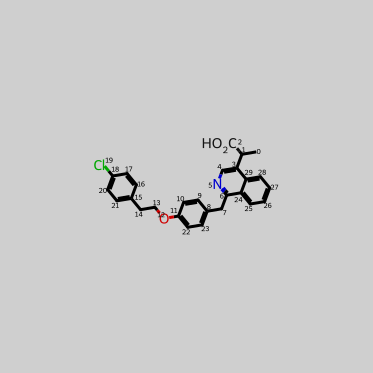 CC(C(=O)O)c1cnc(Cc2ccc(OCCc3ccc(Cl)cc3)cc2)c2ccccc12